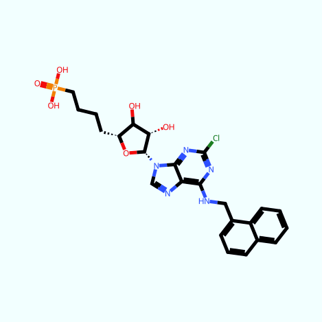 O=P(O)(O)CCCC[C@H]1O[C@@H](n2cnc3c(NCc4cccc5ccccc45)nc(Cl)nc32)[C@@H](O)C1O